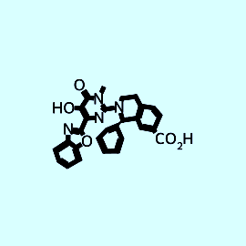 Cn1c(N2CCc3ccc(C(=O)O)cc3[C@H]2c2ccccc2)nc(-c2nc3ccccc3o2)c(O)c1=O